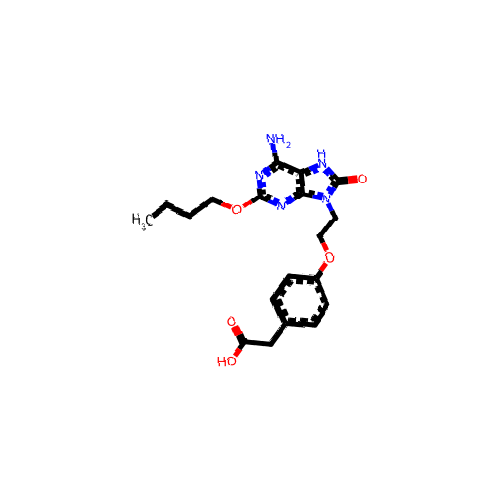 CCCCOc1nc(N)c2[nH]c(=O)n(CCOc3ccc(CC(=O)O)cc3)c2n1